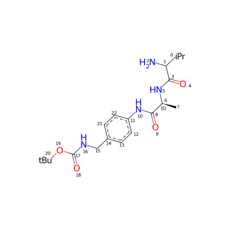 CC(C)C(N)C(=O)N[C@@H](C)C(=O)Nc1ccc(CNC(=O)OC(C)(C)C)cc1